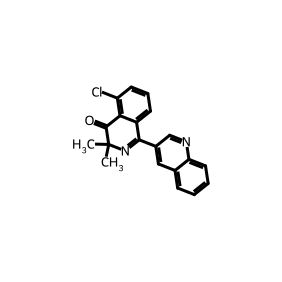 CC1(C)N=C(c2cnc3ccccc3c2)c2cccc(Cl)c2C1=O